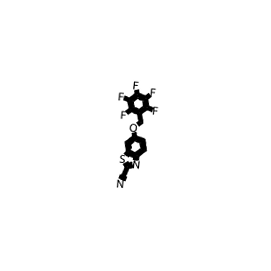 N#Cc1nc2ccc(OCc3c(F)c(F)c(F)c(F)c3F)cc2s1